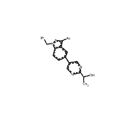 CC(=O)c1nn(CC(C)C)c2ccc(-c3cnc(C(C)O)nc3)cc12